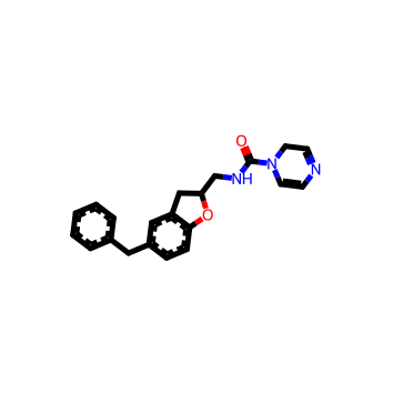 O=C(NCC1Cc2cc(Cc3ccccc3)ccc2O1)N1C=CN=CC1